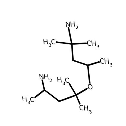 CC(N)CC(C)(C)OC(C)CC(C)(C)N